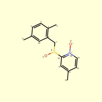 Cc1ccc(C)c(C[S+]([O-])c2cc(C)cc[n+]2[O-])c1